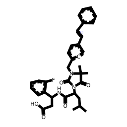 CC(C)CC(C(=O)NC(CC(=O)O)c1ccccc1F)N1C(=O)N(Cc2ccc(/C=C/c3ccccc3)cc2)C(C)(C)C1=O